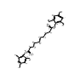 Cc1cc(C)c(OC(=O)CCCCCCCCC(=O)Oc2c(C)cc(C)cc2C)c(C)c1